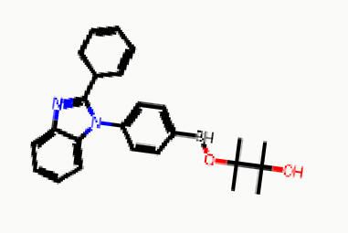 CC(C)(O)C(C)(C)OBc1ccc(-n2c(C3C=CC=CC3)nc3ccccc32)cc1